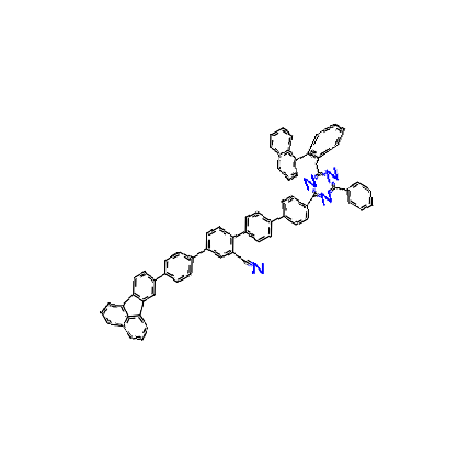 N#Cc1cc(-c2ccc(-c3ccc4c(c3)-c3cccc5cccc-4c35)cc2)ccc1-c1ccc(-c2ccc(-c3nc(-c4ccccc4)nc(-c4ccccc4-c4cccc5ccccc45)n3)cc2)cc1